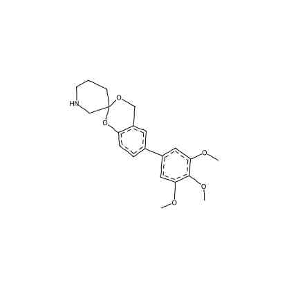 COc1cc(-c2ccc3c(c2)COC2(CCCNC2)O3)cc(OC)c1OC